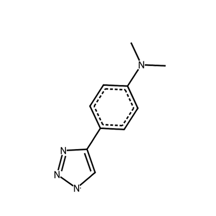 CN(C)c1ccc(C2=C[N]N=N2)cc1